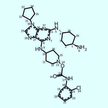 N[C@H]1CC[C@H](Nc2nc(NC3CCN(OC(=O)Nc4ccccc4Cl)CC3)c3ncn(C4CCCC4)c3n2)CC1